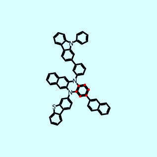 c1ccc(N(c2ccc3c(c2)sc2ccccc23)c2cc3ccccc3cc2N(c2ccc(-c3ccc4ccccc4c3)cc2)c2cccc(-c3ccc4c5ccccc5n(-c5ccccc5)c4c3)c2)cc1